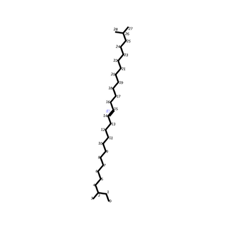 CCC(C)CCCCCCCCCC/C=C/CCCCCCCCCCC(C)C